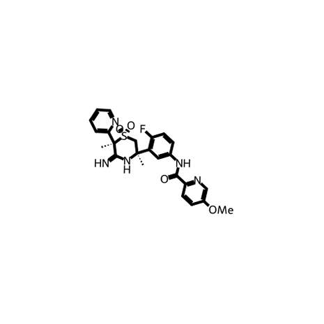 COc1ccc(C(=O)Nc2ccc(F)c([C@]3(C)CS(=O)(=O)[C@](C)(c4ccccn4)C(=N)N3)c2)nc1